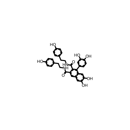 O=C(NCCc1ccc(O)cc1)c1cc2cc(O)c(O)cc2c(-c2ccc(O)c(O)c2)c1C(=O)NCCc1ccc(O)cc1